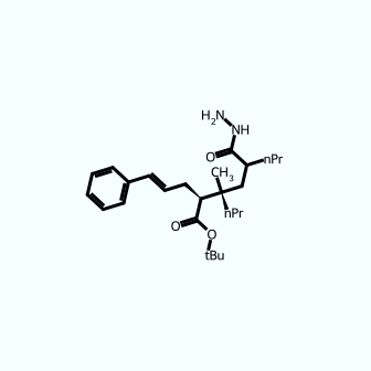 CCCC(C[C@](C)(CCC)[C@H](CC=Cc1ccccc1)C(=O)OC(C)(C)C)C(=O)NN